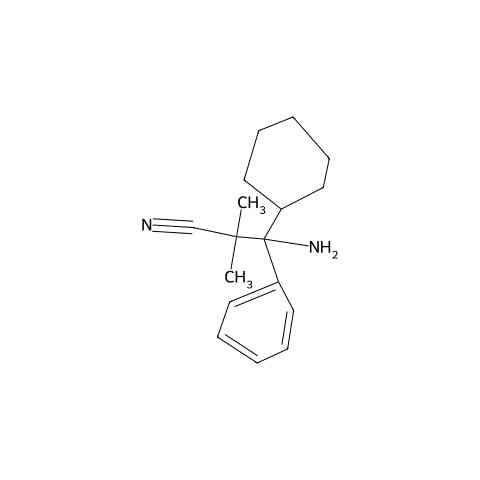 CC(C)(C#N)C(N)(c1ccccc1)C1CCCCC1